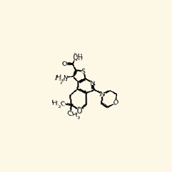 CC1(C)Cc2c(c(N3CCOCC3)nc3sc(C(=O)O)c(N)c23)CO1